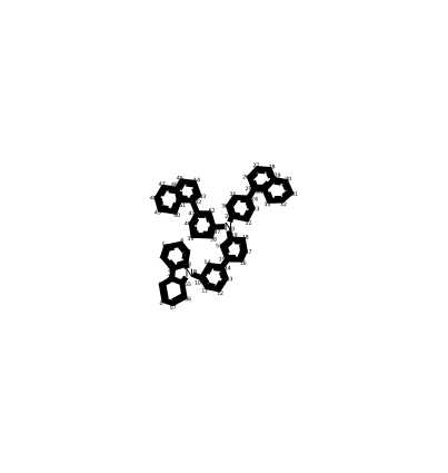 C1=CC2c3ccccc3N(c3cccc(-c4cccc(N(c5ccc(-c6cccc7ccccc67)cc5)c5cccc(-c6cccc7ccccc67)c5)c4)c3)C2C=C1